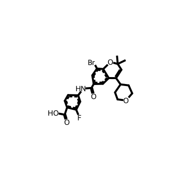 CC1(C)C=C(C2CCOCC2)c2cc(C(=O)Nc3ccc(C(=O)O)c(F)c3)cc(Br)c2O1